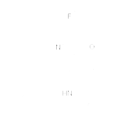 O=C1N(CF)c2ccccc2C12CCCN2